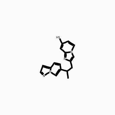 CC(Cc1cn2ccc(S)cc2n1)c1ccc2ccnn2c1